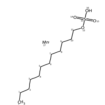 CCCCCCCCCCCCOS(=O)(=O)O.[Mn]